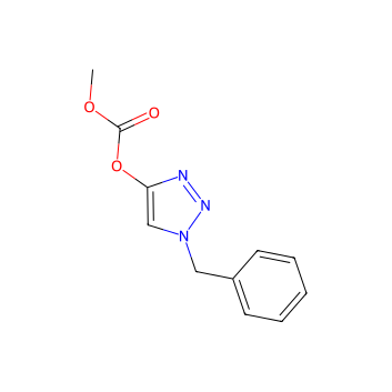 COC(=O)Oc1cn(Cc2ccccc2)nn1